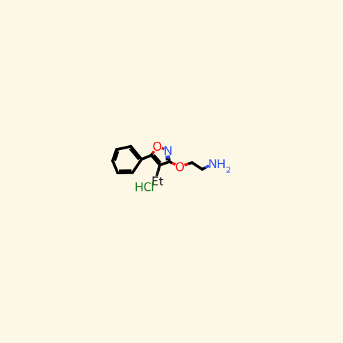 CCc1c(OCCN)noc1-c1ccccc1.Cl